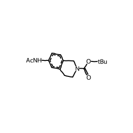 CC(=O)Nc1ccc2c(c1)CCN(C(=O)OC(C)(C)C)C2